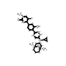 Cn1cc(F)c(-c2ccc(-c3ncc(N(C4CC4)[C@H]4C[C@]5(C)CCC[C@](C)(C4)N5)nn3)c(O)c2)nc1=O